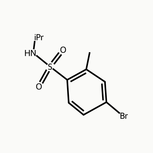 Cc1cc(Br)ccc1S(=O)(=O)NC(C)C